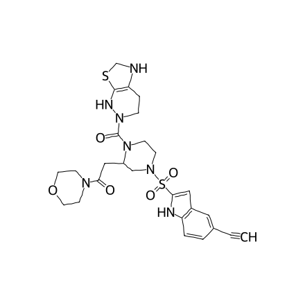 C#Cc1ccc2[nH]c(S(=O)(=O)N3CCN(C(=O)N4CCC5=C(N4)SCN5)C(CC(=O)N4CCOCC4)C3)cc2c1